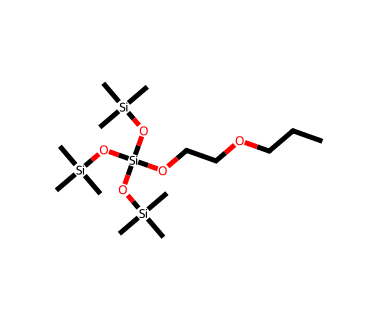 CCCOCCO[Si](O[Si](C)(C)C)(O[Si](C)(C)C)O[Si](C)(C)C